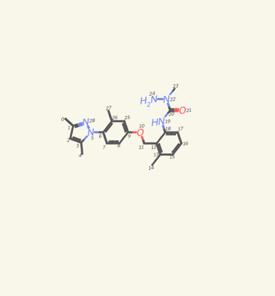 Cc1cc(C)n(-c2ccc(OCc3c(C)cccc3NC(=O)N(C)N)cc2C)n1